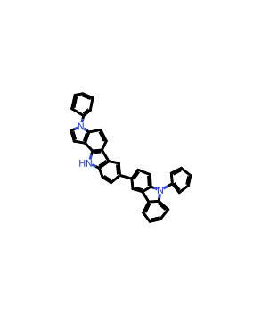 c1ccc(-n2ccc3c4[nH]c5ccc(-c6ccc7c(c6)c6ccccc6n7-c6ccccc6)cc5c4ccc32)cc1